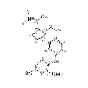 COc1cc(Br)ccc1Nc1ncc2c(n1)-c1noc(C(=O)N(C)C)c1CC2